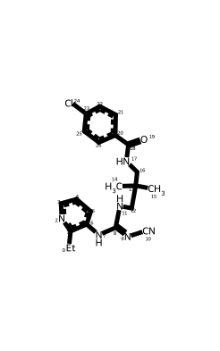 CCc1ncccc1NC(=NC#N)NCC(C)(C)CNC(=O)c1ccc(Cl)cc1